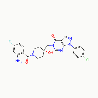 Nc1cc(F)ccc1C(=O)N1CCC(O)(Cn2cnc3c(cnn3-c3ccc(Cl)cc3)c2=O)CC1